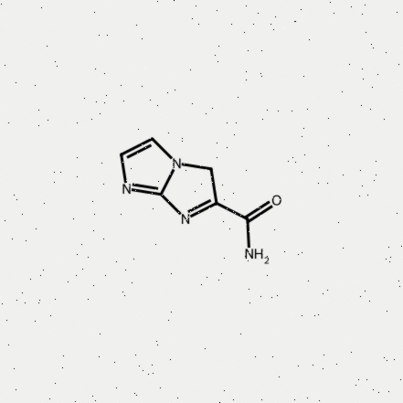 NC(=O)C1=Nc2nccn2C1